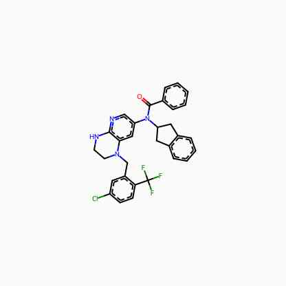 O=C(c1ccccc1)N(c1cnc2c(c1)N(Cc1cc(Cl)ccc1C(F)(F)F)CCN2)C1Cc2ccccc2C1